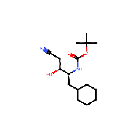 CC(C)(C)OC(=O)N[C@@H](CC1CCCCC1)[C@@H](O)CC#N